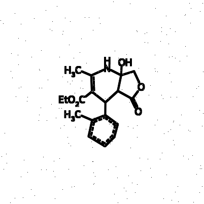 CCOC(=O)C1=C(C)NC2(O)COC(=O)C2C1c1ccccc1C